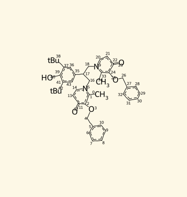 Cc1c(OCc2ccccc2)c(=O)ccn1CC(Cn1ccc(=O)c(OCc2ccccc2)c1C)c1cc(C(C)(C)C)c(O)c(C(C)(C)C)c1